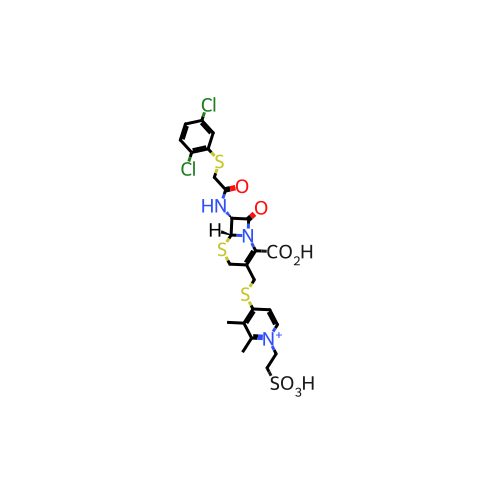 Cc1c(SCC2=C(C(=O)O)N3C(=O)[C@H](NC(=O)CSc4cc(Cl)ccc4Cl)[C@H]3SC2)cc[n+](CCS(=O)(=O)O)c1C